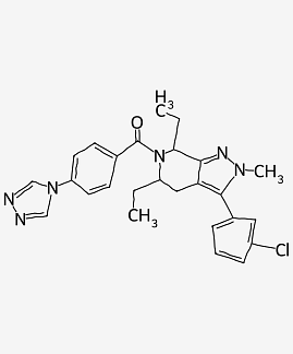 CCC1Cc2c(nn(C)c2-c2cccc(Cl)c2)C(CC)N1C(=O)c1ccc(-n2cnnc2)cc1